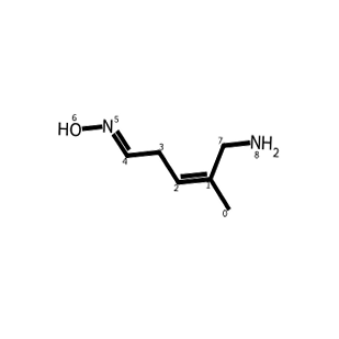 C/C(=C/C/C=N/O)CN